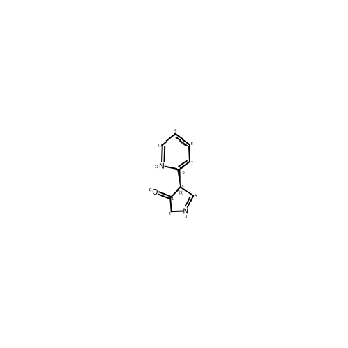 O=C1CN=C[C@@H]1c1ccccn1